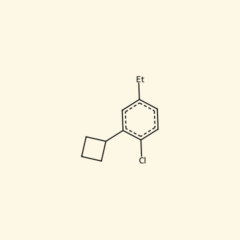 CCc1ccc(Cl)c(C2CCC2)c1